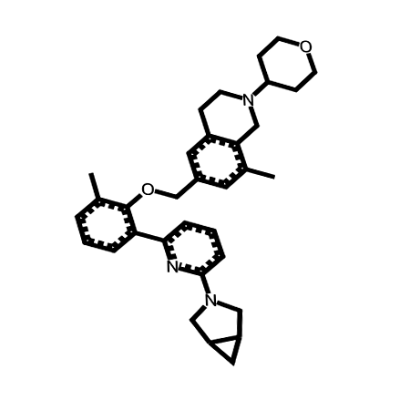 Cc1cc(COc2c(C)cccc2-c2cccc(N3CC4CC4C3)n2)cc2c1CN(C1CCOCC1)CC2